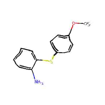 Nc1ccccc1Sc1ccc(OC(F)(F)F)cc1